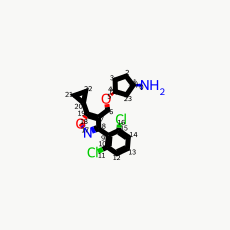 N[C@@H]1CC[C@H](OCc2c(-c3c(Cl)cccc3Cl)noc2C2CC2)C1